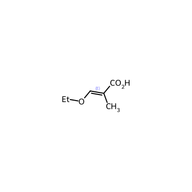 CCO/C=C(\C)C(=O)O